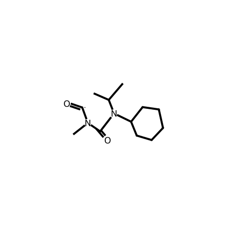 CC(C)N(C(=O)N(C)[C]=O)C1CCCCC1